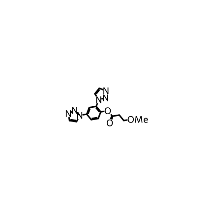 COCCC(=O)Oc1ccc(-n2ccnn2)cc1-n1ccnn1